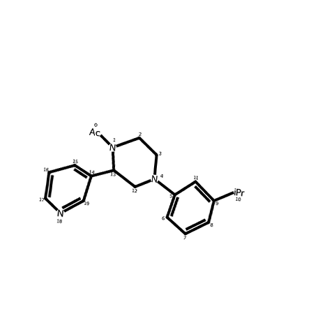 CC(=O)N1CCN(c2cccc(C(C)C)c2)CC1c1cccnc1